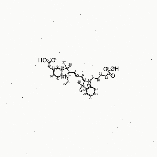 CC[N+]1=C(/C=C/C=C2/N(CCCCS(=O)(=O)O)c3ccccc3C2(C)C)C(C)(C)c2cc(CC(=O)O)ccc21